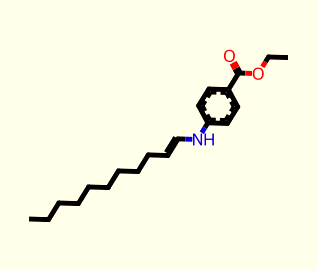 CCCCCCCCCC=CNc1ccc(C(=O)OCC)cc1